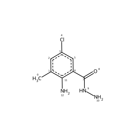 Cc1cc(Cl)cc(C(=O)NN)c1N